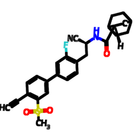 C#Cc1ccc(-c2ccc(C[C@@H](C#N)NC(=O)[C@H]3CC4CCC3CC4)c(F)c2)cc1S(C)(=O)=O